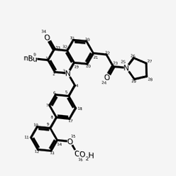 CCCCc1cn(Cc2ccc(-c3ccccc3OC(=O)O)cc2)c2cc(CC(=O)N3CCCC3)ccc2c1=O